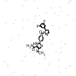 COC1=C(C(N)=O)NC(N2CCN(C(=O)N3N=CCC3c3cc(F)cc(F)c3)CC2)N=C1